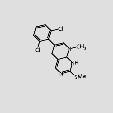 CSC1=NC=C2CC(c3c(Cl)cccc3Cl)=CN(C)C2N1